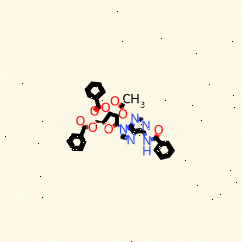 CC(=O)O[C@H]1[C@@H](OC(=O)c2ccccc2)[C@H](COC(=O)c2ccccc2)O[C@@H]1n1cnc2c(NC(=O)c3ccccc3)ncnc21